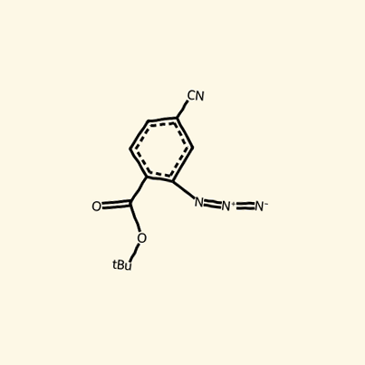 CC(C)(C)OC(=O)c1ccc(C#N)cc1N=[N+]=[N-]